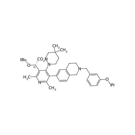 Cc1nc(C)c([C@H](OC(C)(C)C)C(=O)O)c(N2CCC(C)(C)CC2)c1-c1ccc2c(c1)CCN(Cc1cccc(OC(C)C)c1)C2